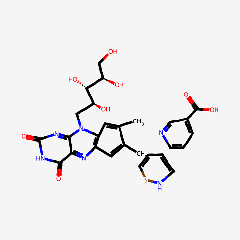 C1=CNSC=C1.Cc1cc2nc3c(=O)[nH]c(=O)nc-3n(C[C@H](O)[C@H](O)[C@H](O)CO)c2cc1C.O=C(O)c1cccnc1